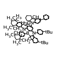 Cc1cc2c(cc1N1c3cc4c(cc3B3c5oc6ccc(C(C)(C)C)cc6c5N(c5ccc(C(C)(C)C)cc5)c5cc(N6c7ccc(-c8ccccc8)cc7C7(C)CCCCC67C)cc1c53)C(C)(C)CCC4(C)C)C(C)(C)CCC2(C)C